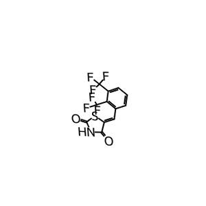 O=C1NC(=O)C(=Cc2cccc(C(F)(F)F)c2C(F)(F)F)S1